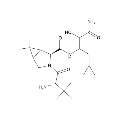 CC1(C)C2CN(C(=O)[C@@H](N)C(C)(C)C)[C@H](C(=O)NC(CC3CC3)C(O)C(N)=O)C21